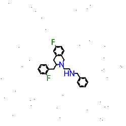 Fc1ccc2c(c1)CC(Cc1ccccc1F)N(CCNCc1ccccc1)C2